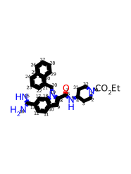 CCOC(=O)N1CCC(NC(=O)c2cc3ccc(C(=N)N)cc3n2Cc2cccc3ccccc23)CC1